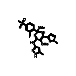 CNC1(c2ccc(S(C)(=O)=O)cc2F)N=C(Nc2cc(C)[nH]n2)C(OC)=C(c2ccn(C)n2)N1